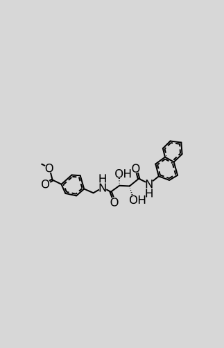 COC(=O)c1ccc(CNC(=O)[C@H](O)[C@@H](O)C(=O)Nc2ccc3ccccc3c2)cc1